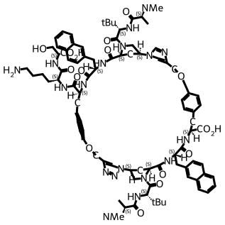 CN[C@@H](C)C(=O)N[C@H](C(=O)N1C[C@@H]2C[C@H]1C(=O)N[C@@H](Cc1ccc3ccccc3c1)C(=O)N[C@H](C(=O)O)Cc1ccc(cc1)OCc1cn(cn1)[C@H]1C[C@@H](C(=O)N[C@@H](Cc3ccc4ccccc4c3)C(=O)N[C@H](C(=O)N[C@@H](CCCCN)C(=O)N[C@@H](CO)C(=O)O)Cc3ccc(cc3)OCc3cn2nn3)N(C(=O)[C@@H](NC(=O)[C@H](C)NC)C(C)(C)C)C1)C(C)(C)C